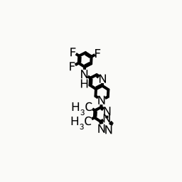 Cc1c(N2CCc3ncc(Nc4cc(F)cc(F)c4F)cc3C2)nn2cnnc2c1C